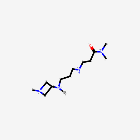 CCN(CCCNCCC(=O)N(C)C)C1CN(C)C1